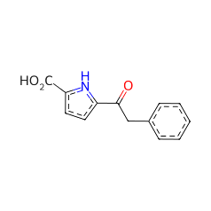 O=C(O)c1ccc(C(=O)Cc2ccccc2)[nH]1